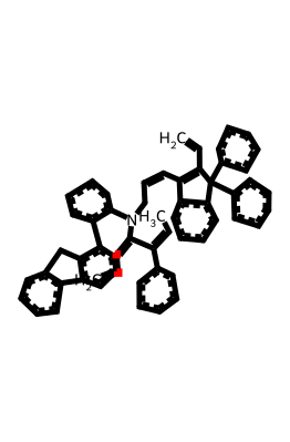 C=C/C=C(\C(=C/C)c1ccccc1)N(C/C=C\C1=C(C=C)C(c2ccccc2)(c2ccccc2)c2ccccc21)c1ccccc1-c1cccc2c1Cc1ccccc1-2